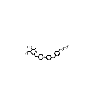 COCOCc1ccc(Cc2ccc(N3CCC(Cc4nc(C)c(O)c([C]=O)n4)CC3)cc2)cc1